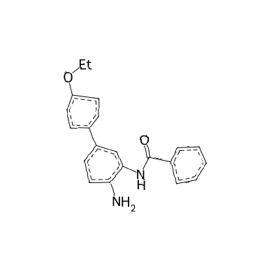 CCOc1ccc(-c2ccc(N)c(NC(=O)c3ccccc3)c2)cc1